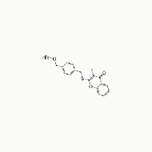 CCCOCc1ccc(CSc2oc3ccccc3c(=O)c2C)cc1